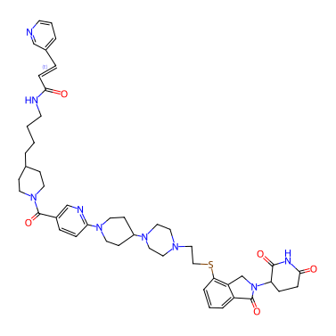 O=C(/C=C/c1cccnc1)NCCCCC1CCN(C(=O)c2ccc(N3CCC(N4CCN(CCSc5cccc6c5CN(C5CCC(=O)NC5=O)C6=O)CC4)CC3)nc2)CC1